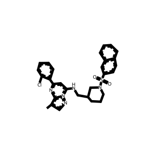 Cc1cnn2c(NCC3CCCN(S(=O)(=O)c4ccc5ccccc5c4)C3)cc(-c3ccccc3Cl)nc12